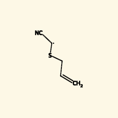 C=CCS[CH]C#N